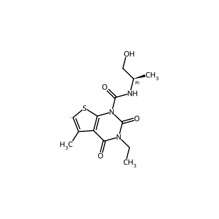 CCn1c(=O)c2c(C)[c]sc2n(C(=O)N[C@H](C)CO)c1=O